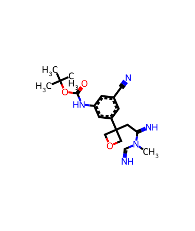 CN(C=N)C(=N)CC1(c2cc(C#N)cc(NC(=O)OC(C)(C)C)c2)COC1